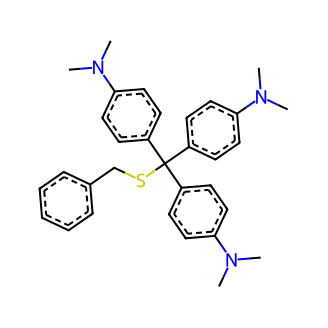 CN(C)c1ccc(C(SCc2ccccc2)(c2ccc(N(C)C)cc2)c2ccc(N(C)C)cc2)cc1